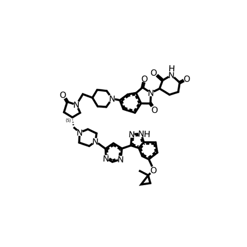 CC1(Oc2ccc3[nH]nc(-c4cc(N5CCN(C[C@@H]6CC(=O)N(CC7CCN(c8ccc9c(c8)C(=O)N(C8CCC(=O)NC8=O)C9=O)CC7)C6)CC5)ncn4)c3c2)CC1